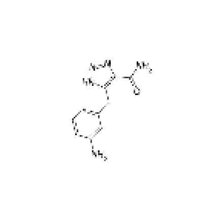 NC(=O)c1nn[nH]c1Cc1cccc(N)c1